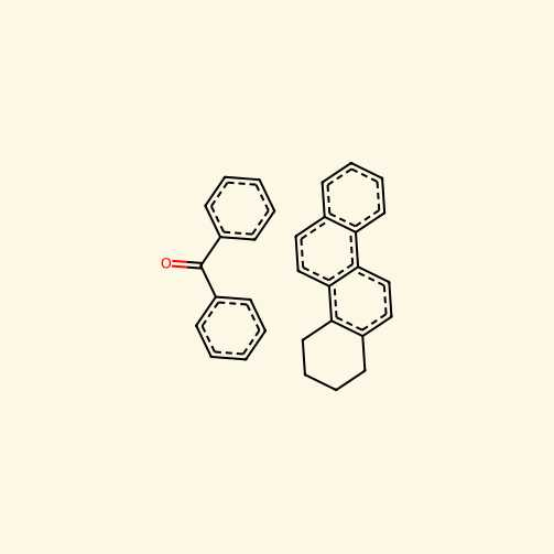 O=C(c1ccccc1)c1ccccc1.c1ccc2c(c1)ccc1c3c(ccc12)CCCC3